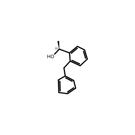 C[C@H](O)c1ccccc1Cc1ccccc1